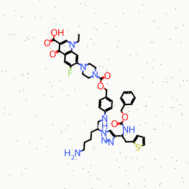 CCn1cc(C(=O)O)c(=O)c2cc(F)c(N3CCN(C(=O)OCc4ccc(NC[C@H](CCCCN)n5cc(C(Cc6cccs6)NC(=O)OCc6ccccc6)nn5)cc4)CC3)cc21